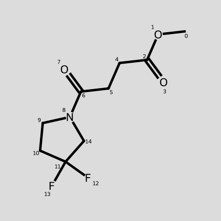 COC(=O)CCC(=O)N1CCC(F)(F)C1